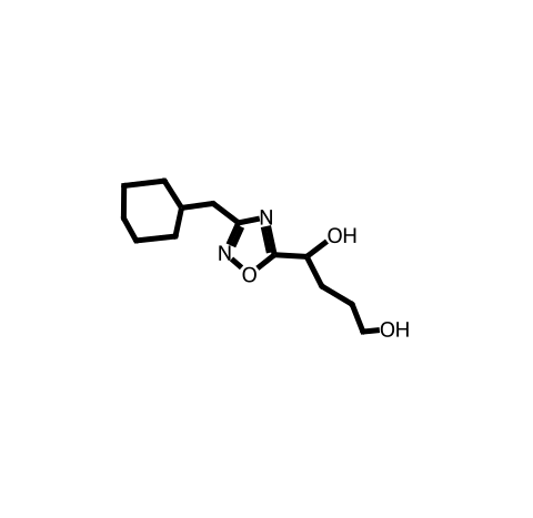 OCCCC(O)c1nc(CC2CCCCC2)no1